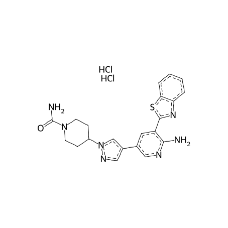 Cl.Cl.NC(=O)N1CCC(n2cc(-c3cnc(N)c(-c4nc5ccccc5s4)c3)cn2)CC1